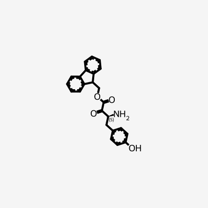 N[C@@H](Cc1ccc(O)cc1)C(=O)C(=O)OCC1c2ccccc2-c2ccccc21